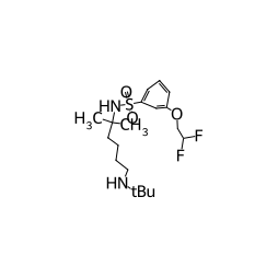 CC(C)(C)NCCCCC(C)(C)NS(=O)(=O)c1cccc(OCC(F)F)c1